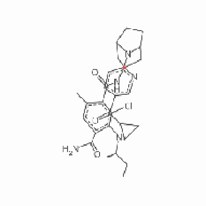 CC[C@@H](C)Nc1c(C(N)=O)cc(C)c(C(=O)NC2CC3CCC(C2)N3c2ccc(C(=O)C3CC3)cn2)c1Cl